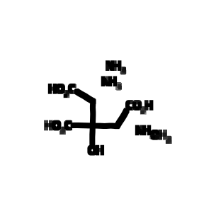 N.N.N.O.O=C(O)CC(O)(CC(=O)O)C(=O)O